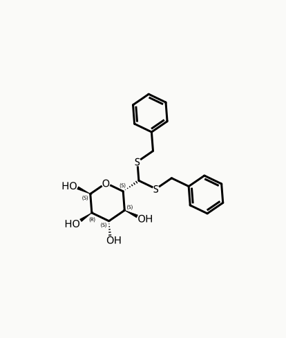 O[C@@H]1[C@@H](O)[C@@H](O)O[C@H](C(SCc2ccccc2)SCc2ccccc2)[C@H]1O